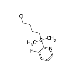 C[Si](C)(CCCCCl)c1ncccc1F